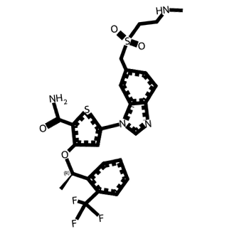 CNCCS(=O)(=O)Cc1ccc2ncn(-c3cc(O[C@H](C)c4ccccc4C(F)(F)F)c(C(N)=O)s3)c2c1